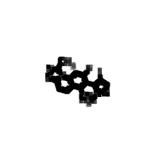 Cc1nnc2ccc3c(C#N)c(-c4c(I)cnn4C)c(F)cc3n12